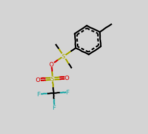 Cc1ccc(S(C)(C)OS(=O)(=O)C(F)(F)F)cc1